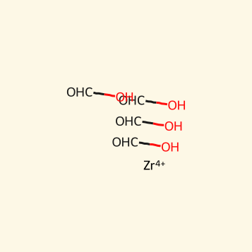 O=[C-]O.O=[C-]O.O=[C-]O.O=[C-]O.[Zr+4]